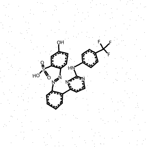 O=S(=O)(O)c1cc(O)ccc1/N=N/c1ccccc1-c1ccnc(Nc2ccc(C(F)(F)F)cc2)n1